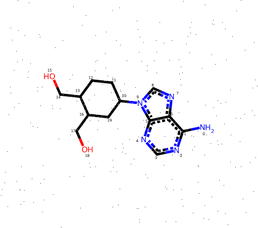 Nc1ncnc2c1ncn2C1CCC(CO)C(CO)C1